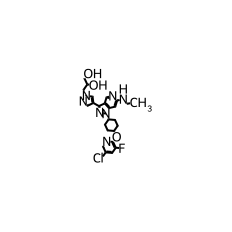 CCNc1cc2c(cn1)c(-c1cnn(CC(O)CO)c1)nn2C1CCC(Oc2ncc(Cl)cc2F)CC1